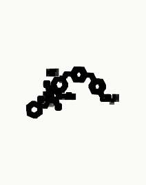 CCCCN1C(=O)[C@@H](CC2(O)CCCCC2)NC(=O)C12CCN(Cc1ccc(Cc3ccc(C(=O)O)cc3)cc1)CC2.Cl